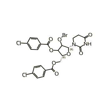 O=C1CCN([C@@H]2O[C@H](COC(=O)c3ccc(Cl)cc3)C(OC(=O)c3ccc(Cl)cc3)C2OBr)C(=O)N1